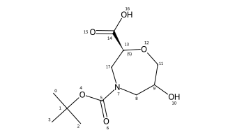 CC(C)(C)OC(=O)N1CC(O)CO[C@H](C(=O)O)C1